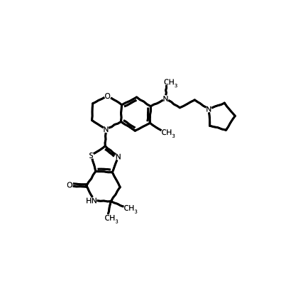 Cc1cc2c(cc1N(C)CCN1CCCC1)OCCN2c1nc2c(s1)C(=O)NC(C)(C)C2